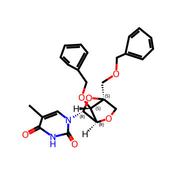 Cc1cn([C@@H]2O[C@@]3(COCc4ccccc4)CO[C@@H]2[C@@H]3OCc2ccccc2)c(=O)[nH]c1=O